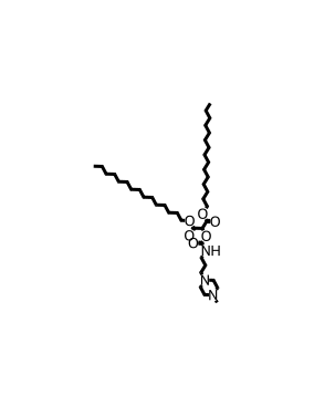 CCCCCCCCCCCCCCCOC(=O)C(OC(=O)NCCCN1CCN(C)CC1)C(=O)OCCCCCCCCCCCCCCC